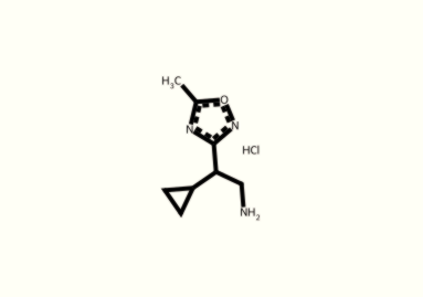 Cc1nc(C(CN)C2CC2)no1.Cl